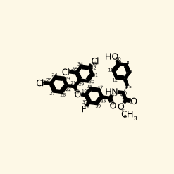 COC(=O)[C@@H](Cc1ccc(O)cc1)NC(=O)c1ccc(OC(c2ccc(Cl)cc2)c2ccc(Cl)cc2Cl)c(F)c1